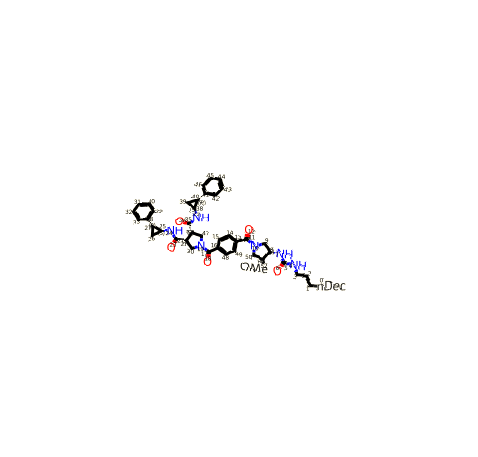 CCCCCCCCCCCCCNC(=O)N[C@H]1CN(C(=O)c2ccc(C(=O)N3C[C@@H](C(=O)N[C@H]4C[C@@H]4c4ccccc4)[C@H](C(=O)N[C@H]4C[C@@H]4c4ccccc4)C3)cc2)C[C@@H]1OC